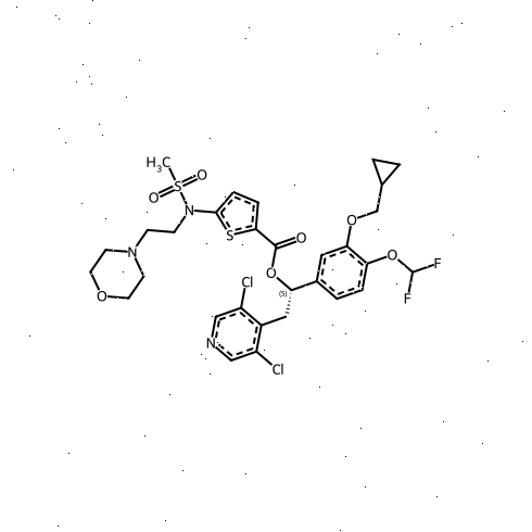 CS(=O)(=O)N(CCN1CCOCC1)c1ccc(C(=O)O[C@@H](Cc2c(Cl)cncc2Cl)c2ccc(OC(F)F)c(OCC3CC3)c2)s1